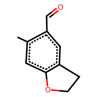 Cc1cc2c(cc1C=O)CCO2